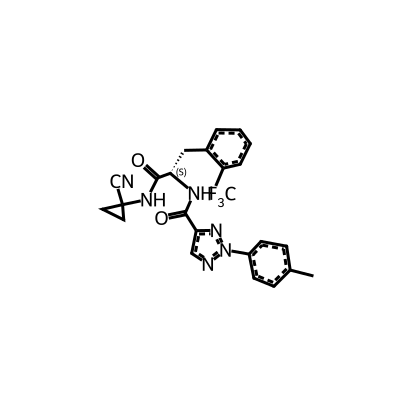 Cc1ccc(-n2ncc(C(=O)N[C@@H](Cc3ccccc3C(F)(F)F)C(=O)NC3(C#N)CC3)n2)cc1